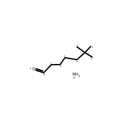 CC(C)(C)CCCCC=O.N